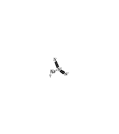 [I-].[N-]=[N+]=[N-].[Na+]